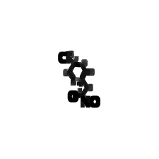 O=NC(=O)Cc1ccc(Cl)cc1